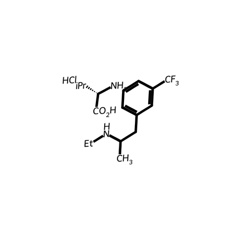 CC(C)[C@H](N)C(=O)O.CCNC(C)Cc1cccc(C(F)(F)F)c1.Cl